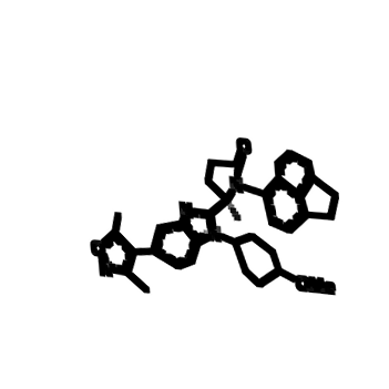 COC1CCC(n2c([C@@]3(C)CCC(=O)N3c3ccc4c5c(cccc35)CC4)nc3cc(-c4c(C)noc4C)ccc32)CC1